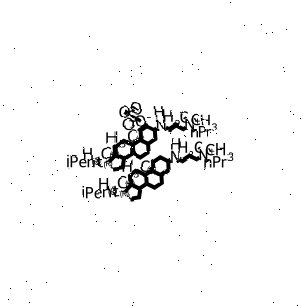 CCC[C@@H](C)[C@H]1CCC2C3CCC4CC(NCCC[N+](C)(C)CCC)CC[C@]4(C)C3CC[C@@]21C.CCC[C@@H](C)[C@H]1CCC2C3CCC4CC(NCCC[N+](C)(C)CCC)CC[C@]4(C)C3CC[C@@]21C.O=S(=O)([O-])[O-]